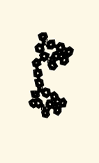 c1ccc(N(c2ccccc2)c2ccc(-c3ccc4c(c3)C3(c5ccccc5-4)c4ccccc4-c4c3ccc3c4c4ccccc4n3-c3cccc(-c4cccc(-c5ccc(-c6ccc(N(c7ccccc7)c7ccc(-c8ccc9c(c8)C8(c%10ccccc%10-9)c9ccccc9-c9c8ccc8c9c9ccccc9n8-c8ccc9ccccc9c8)cc7)cc6)cc5)c4)c3)cc2)cc1